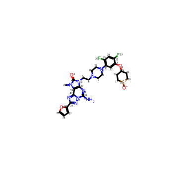 Cn1c(=O)n(CCN2CCN(c3cc(OC4CC[S+]([O-])CC4)c(F)cc3F)CC2)c2nc(N)n3nc(-c4ccco4)nc3c21